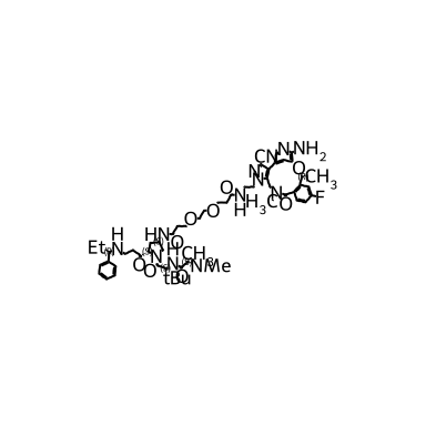 CC[C@@H](NCCC(=O)[C@@H]1C[C@H](NC(=O)CCOCCOCCC(=O)NCCn2nc(C#N)c3c2CN(C)C(=O)c2ccc(F)cc2[C@@H](C)Oc2cc-3cnc2N)CN1C(=O)[C@@H](NC(=O)[C@H](C)NC)C(C)(C)C)c1ccccc1